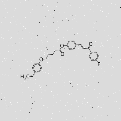 C=Cc1ccc(OCCCCC(=O)Oc2ccc(C=CC(=O)c3ccc(F)cc3)cc2)cc1